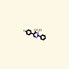 CCOC(=O)c1nc(-c2ccccc2)ncc1-c1ccc(F)cc1